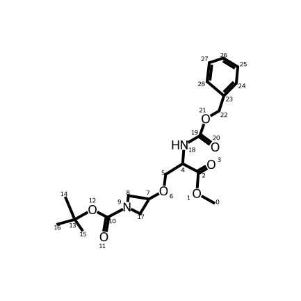 COC(=O)C(COC1CN(C(=O)OC(C)(C)C)C1)NC(=O)OCc1ccccc1